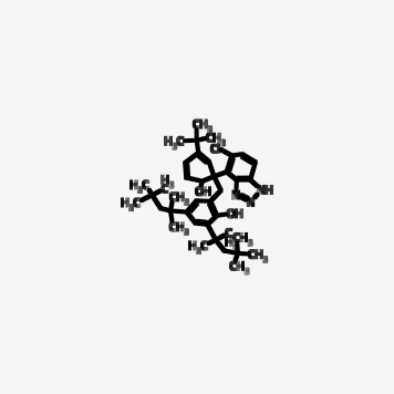 CC(C)(C)CC(C)(C)c1cc(CC2(c3c(Cl)ccc4[nH]nnc34)C=C(C(C)(C)C)C=CC2O)c(O)c(C(C)(C)CC(C)(C)C)c1